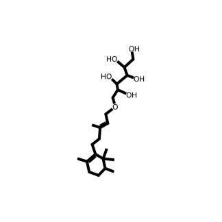 CC1=C(CC/C(C)=C/COCC(O)C(O)C(O)C(O)CO)C(C)(C)C(C)CC1